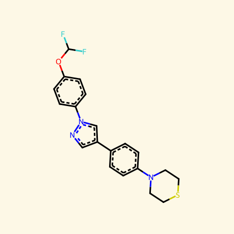 FC(F)Oc1ccc(-n2cc(-c3ccc(N4CCSCC4)cc3)cn2)cc1